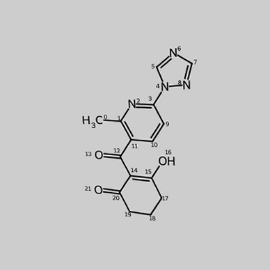 Cc1nc(-n2cncn2)ccc1C(=O)C1=C(O)CCCC1=O